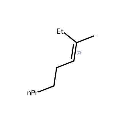 [CH2]/C(=C/CCCCC)CC